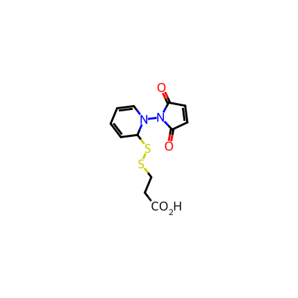 O=C(O)CCSSC1C=CC=CN1N1C(=O)C=CC1=O